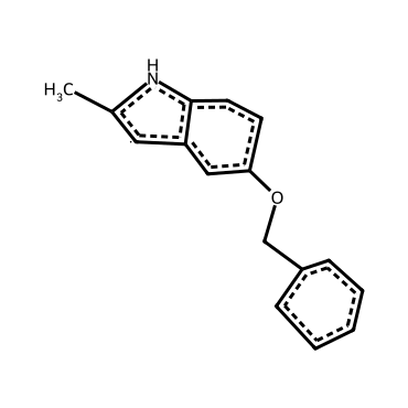 Cc1[c]c2cc(OCc3ccccc3)ccc2[nH]1